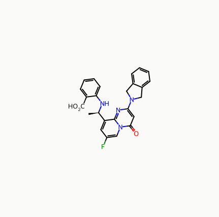 C[C@@H](Nc1ccccc1C(=O)O)c1cc(F)cn2c(=O)cc(N3Cc4ccccc4C3)nc12